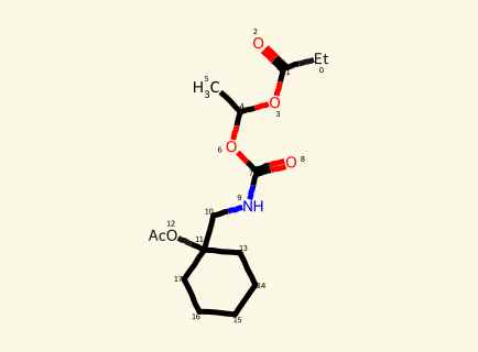 CCC(=O)OC(C)OC(=O)NCC1(OC(C)=O)CCCCC1